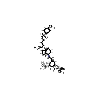 Cc1ccc(S(=O)(=O)OCCCC(C)[C@H]2CC[C@H]3/C(=C/C=C4C[C@@H](O[Si](C)(C)C(C)(C)C)C[C@H](O[Si](C)(C)C(C)(C)C)C4)CCC[C@]23C)cc1